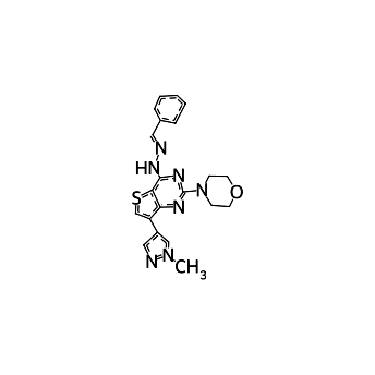 Cn1cc(-c2csc3c(N/N=C/c4ccccc4)nc(N4CCOCC4)nc23)cn1